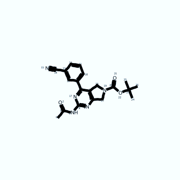 CC(=O)Nc1nc2c(c(-c3cccc(C#N)c3)n1)CN(C(=O)OC(C)(C)C)C2